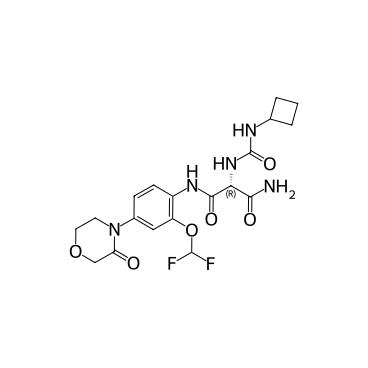 NC(=O)[C@@H](NC(=O)NC1CCC1)C(=O)Nc1ccc(N2CCOCC2=O)cc1OC(F)F